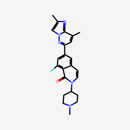 Cc1cn2nc(-c3cc(F)c4c(=O)n(C5CCN(C)CC5)ccc4c3)cc(C)c2n1